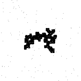 C=Cc1nccc(N2CC(OP(OCCC#N)N(C(C)C)C(C)C)C2)n1